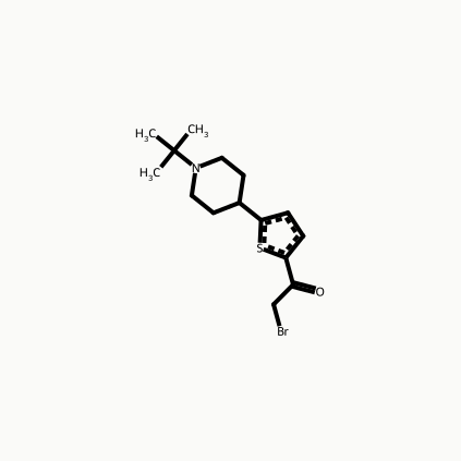 CC(C)(C)N1CCC(c2ccc(C(=O)CBr)s2)CC1